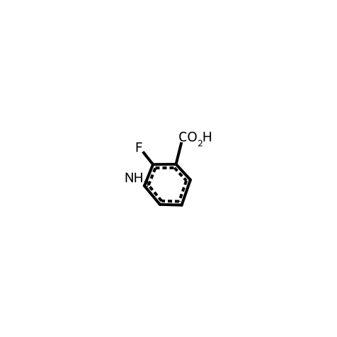 N.O=C(O)c1ccccc1F